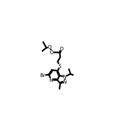 Cc1nn(C(C)C)c2c(SCCC(=O)OOC(C)C)cc(Br)nc12